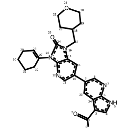 CC(=O)c1c[nH]c2ncc(-c3cnc4c(c3)n(CC3CCOCC3)c(=O)n4C3=CCCCC3)cc12